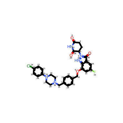 O=C1CCC(n2[nH]c3c(OCc4ccc(CN5CCN(c6ccc(Cl)cc6)CC5)cc4)cc(F)cc3c2=O)C(=O)N1